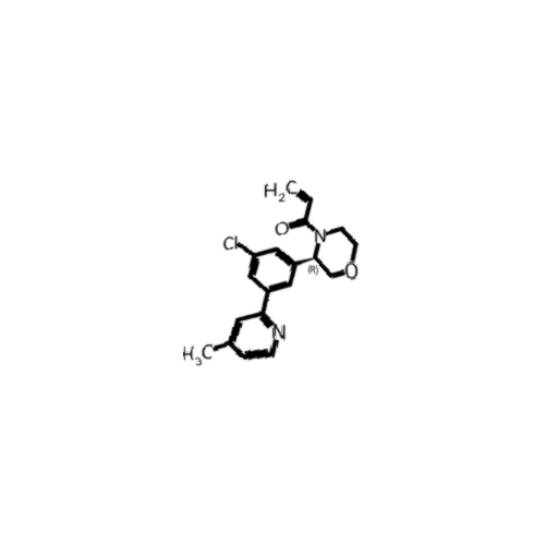 C=CC(=O)N1CCOC[C@H]1c1cc(Cl)cc(-c2cc(C)ccn2)c1